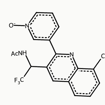 CC(=O)NC(c1cc2cccc(Cl)c2nc1-c1ccc[n+]([O-])c1)C(F)(F)F